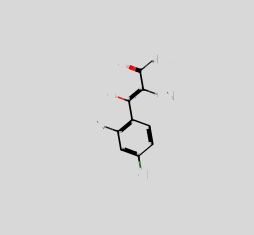 CCC(C)C(=O)/C(C#N)=C(\O)c1ccc(Cl)cc1[N+](=O)[O-]